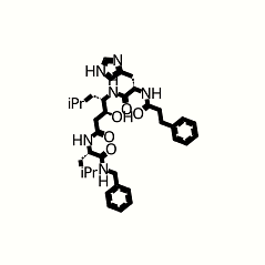 CC(C)C[C@H](NC(=O)C[C@H](O)[C@H](CC(C)C)NC(=O)[C@H](Cc1c[nH]cn1)NC(=O)CCc1ccccc1)C(=O)NCc1ccccc1